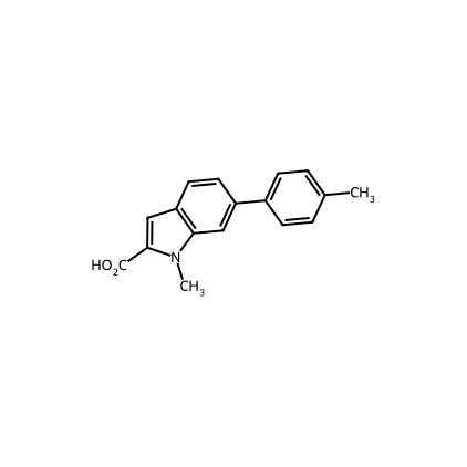 Cc1ccc(-c2ccc3cc(C(=O)O)n(C)c3c2)cc1